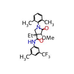 CC[C@@]1(C(=O)Nc2cc(C)cc(C(F)(F)F)c2)CN(c2c(C)cccc2C)C(=O)C1OC